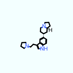 c1cc2[nH]cc(CCN3CCCC3)c2cc1[C@@H]1CCN2CCC[C@H]2C1